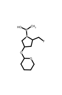 CB(O)N1CC(OC2CCCCO2)CC1CF